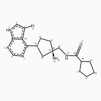 CCc1c[nH]c2ncnc(N3CC[C@](N)(CNC(=O)C4CCCC4)C3)c12